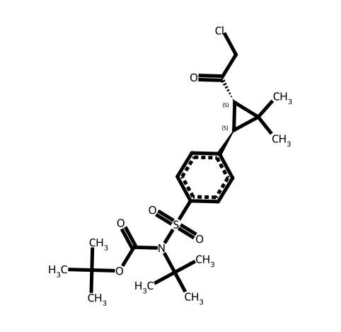 CC(C)(C)OC(=O)N(C(C)(C)C)S(=O)(=O)c1ccc([C@H]2[C@H](C(=O)CCl)C2(C)C)cc1